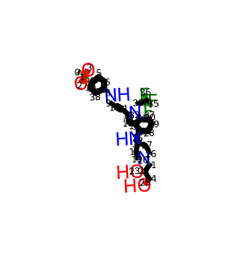 CS(=O)(=O)c1ccc(NCC#Cc2cc3c(NC4CCN(CC(O)CO)CC4)cccc3n2CC(F)(F)F)cc1